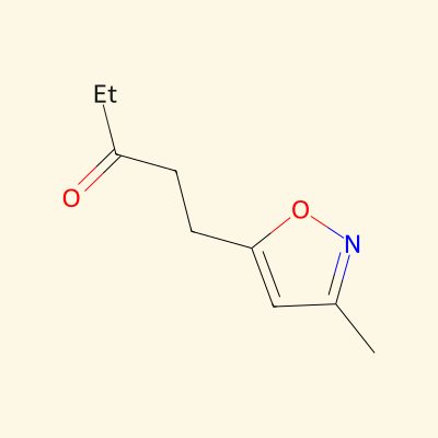 CCC(=O)CCc1cc(C)no1